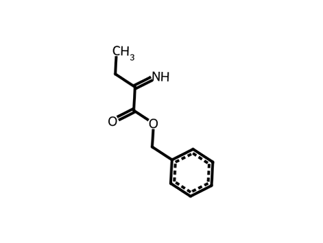 CCC(=N)C(=O)OCc1ccccc1